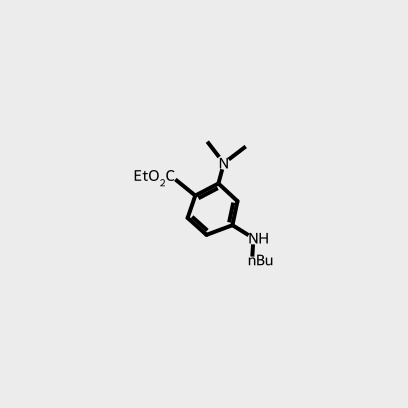 CCCCNc1ccc(C(=O)OCC)c(N(C)C)c1